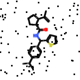 C=C(C)C1CCCC1C(=O)NC(c1ccc(C(C)C)cc1)c1cccs1